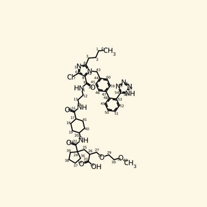 CCCCc1nc(Cl)c(C(=O)NCCNC(=O)C2CCC(NC(=O)C3(CC(COCCOC)C(=O)O)CCCC3)CC2)n1Cc1ccc(-c2ccccc2-c2nnn[nH]2)cc1